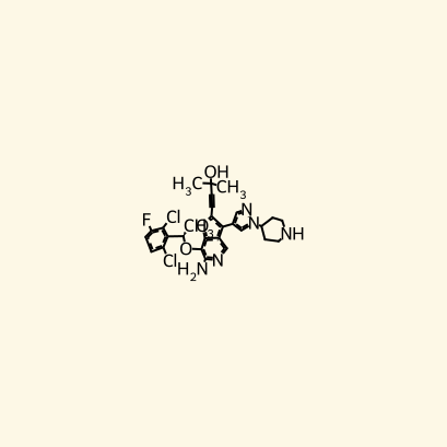 C[C@@H](Oc1c(N)ncc2c(-c3cnn(C4CCNCC4)c3)c(C#CC(C)(C)O)oc12)c1c(Cl)ccc(F)c1Cl